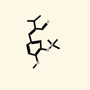 COc1ccc(/C=C(\C=O)C(C)C)cc1O[Si](C)(C)C